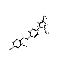 Fc1ccc(NCc2ccc(-n3nc(C(F)(F)F)cc3C(F)(F)F)cc2)c(F)c1